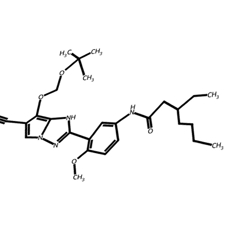 CCCCC(CC)CC(=O)Nc1ccc(OC)c(-c2nn3cc(C#N)c(OCOC(C)(C)C)c3[nH]2)c1